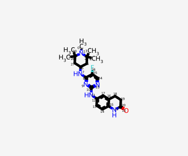 CN1C(C)(C)CC(Nc2nc(Nc3ccc4c(c3)CCC(=O)N4)ncc2F)CC1(C)C